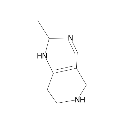 CC1N=CC2=C(CCNC2)N1